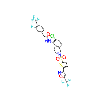 O=C(Cc1ccc(C(F)(F)F)c(F)c1)Nc1c(Cl)ccc2c1CCN(S(=O)(=O)c1ccc(-c3cc(C(F)(F)F)on3)s1)C2